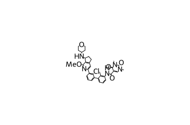 COc1nc(-c2cccc(-c3cccc(NC(=O)c4cn(C)c(=O)n(C)c4=O)c3C)c2Cl)cc2c1C(NC1CCOCC1)CC2